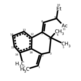 C/C=C1/CC(C)(C)/C(=C\C(CC)C(C)=O)c2cccc(C)c21